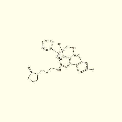 Cc1cc(F)ccc1-c1nc(NCCCN2CCCC2=O)nc2c1CNC[N+]2([O-])[C@@H](C)c1ccccc1